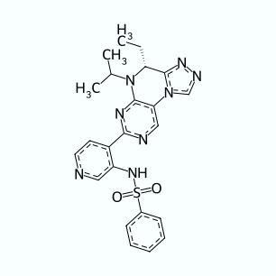 CC[C@@H]1c2nncn2-c2cnc(-c3ccncc3NS(=O)(=O)c3ccccc3)nc2N1C(C)C